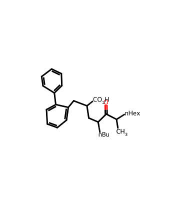 CCCCCCC(C)C(=O)C(CCCC)CC(Cc1ccccc1-c1ccccc1)C(=O)O